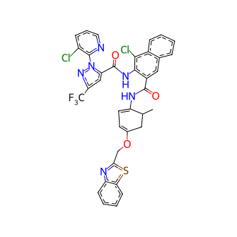 CC1CC(OCc2nc3ccccc3s2)=CC=C1NC(=O)c1cc2ccccc2c(Cl)c1NC(=O)c1cc(C(F)(F)F)nn1-c1ncccc1Cl